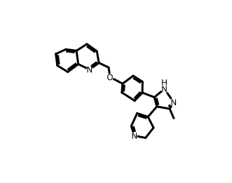 Cc1n[nH]c(-c2ccc(OCc3ccc4ccccc4n3)cc2)c1C1=CC=NCC1